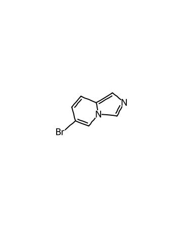 Brc1ccc2cncn2c1